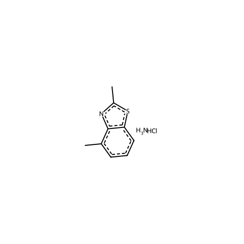 Cc1nc2c(C)cccc2s1.Cl.N